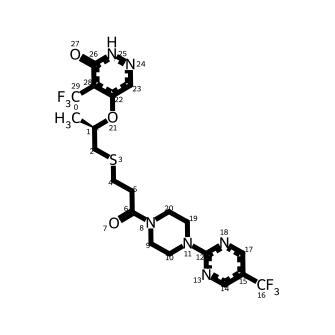 C[C@H](CSCCC(=O)N1CCN(c2ncc(C(F)(F)F)cn2)CC1)Oc1cn[nH]c(=O)c1C(F)(F)F